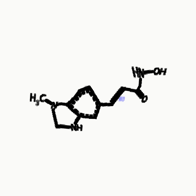 CN1CNc2cc(/C=C/C(=O)NO)ccc21